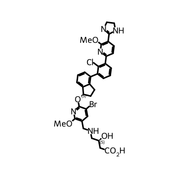 COc1nc(O[C@H]2CCc3c(-c4cccc(-c5ccc(C6=NCCN6)c(OC)n5)c4Cl)cccc32)c(Br)cc1CNC[C@@H](O)CC(=O)O